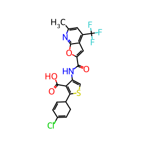 Cc1cc(C(F)(F)F)c2cc(C(=O)Nc3csc(C4C=CC(Cl)=CC4)c3C(=O)O)oc2n1